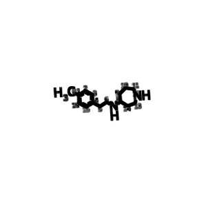 Cc1ccc(CCNC2CCCNCC2)cc1